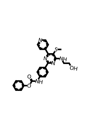 CSc1c(NCCO)nc(-c2ccc(NC(=O)Oc3ccccc3)cc2)nc1-c1ccncc1